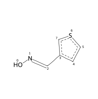 O/N=C/c1ccsc1